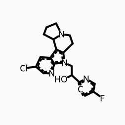 OC(Cn1c2c(c3cc(Cl)cnc31)C1CCCN1CC2)c1ccc(F)cn1